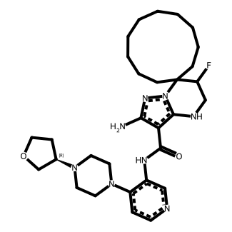 Nc1nn2c(c1C(=O)Nc1cnccc1N1CCN([C@@H]3CCOC3)CC1)NCC(F)C21CCCCCCCCCC1